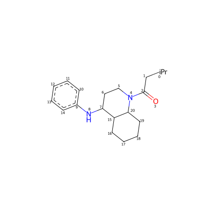 CC(C)CC(=O)N1CCC(Nc2ccccc2)C2CCCCC21